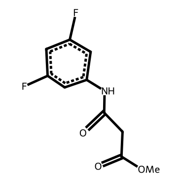 COC(=O)CC(=O)Nc1cc(F)cc(F)c1